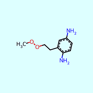 COOCCc1cc(N)ccc1N